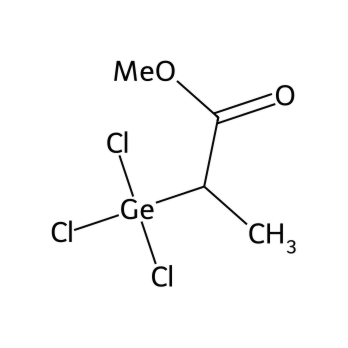 COC(=O)[CH](C)[Ge]([Cl])([Cl])[Cl]